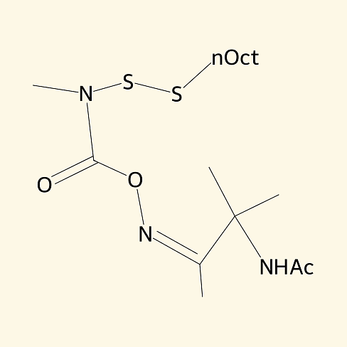 CCCCCCCCSSN(C)C(=O)ON=C(C)C(C)(C)NC(C)=O